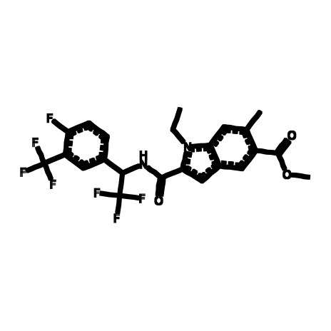 CCn1c(C(=O)NC(c2ccc(F)c(C(F)(F)F)c2)C(F)(F)F)cc2cc(C(=O)OC)c(C)cc21